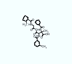 Cc1cccc(C(=O)NC(C(=O)OC(=O)CNC(=O)c2ccccc2C)C(C)(NC(=O)c2ccccc2)C(=O)O)c1